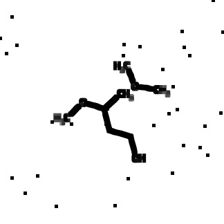 COC.COC(C)CCO